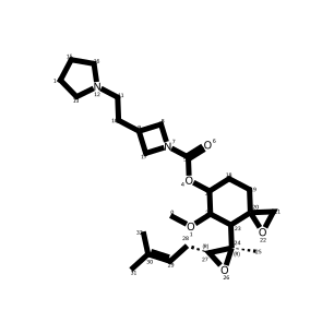 COC1C(OC(=O)N2CC(CCN3CCCC3)C2)CCC2(CO2)C1[C@@]1(C)O[C@@H]1CC=C(C)C